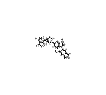 Cc1csc([C@@]2(CN)[C@@H]3CCN(c4cnc5c(-c6cc7ccnn7cc6Cl)n[nH]c5n4)C[C@@H]32)n1